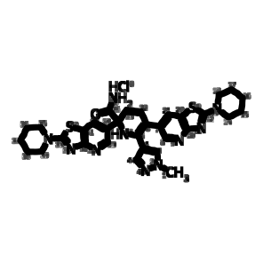 Cl.Cn1cc(C2=C(c3cnc4nc(N5CCCCC5)sc4c3)C=CC(C(N)=O)(c3cnc4nc(N5CCCCC5)sc4c3)N2)cn1